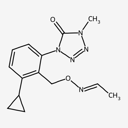 CC=NOCc1c(C2CC2)cccc1-n1nnn(C)c1=O